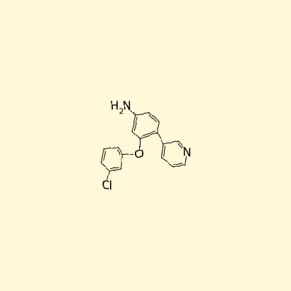 Nc1ccc(-c2cccnc2)c(Oc2cccc(Cl)c2)c1